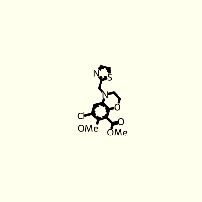 COC(=O)c1c(OC)c(Cl)cc2c1OCCN2Cc1nccs1